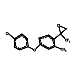 Cc1cc(Oc2ccc(Cl)cc2)ccc1C1(C(F)(F)F)CO1